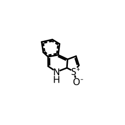 [O-][S+]1C=CC2=c3ccccc3=CNC21